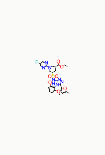 CCOC(=O)[C@H]1CC(S(=O)(=O)Nc2nnc(-c3ccc(C)o3)n2-c2c(OC)cccc2OC)CN(c2ncc(F)cn2)C1